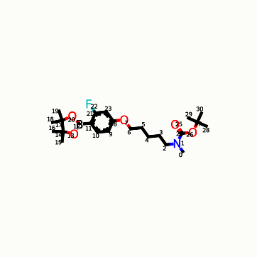 CN(CCCCCOc1ccc(B2OC(C)(C)C(C)(C)O2)c(F)c1)C(=O)OC(C)(C)C